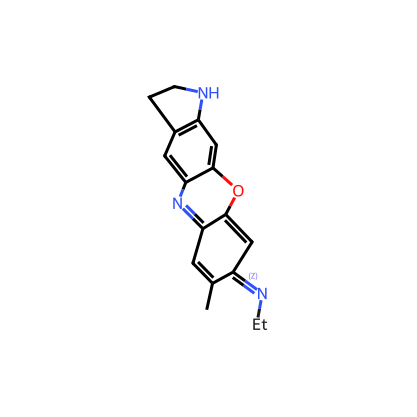 CC/N=c1/cc2oc3cc4c(cc3nc-2cc1C)CCN4